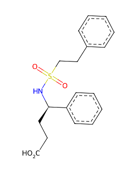 O=C(O)CC[C@@H](NS(=O)(=O)CCc1ccccc1)c1ccccc1